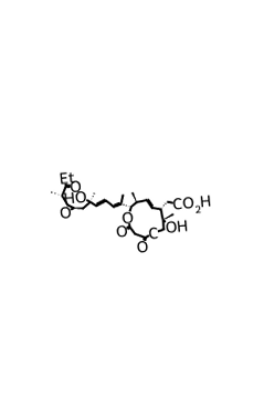 CCC(=O)[C@@H](C)[C@H]1O[C@@H]1C[C@@](C)(O)/C=C/C=C(\C)[C@H]1OC(=O)CC(=O)CC[C@@](C)(O)[C@@H](CC(=O)O)/C=C/[C@@H]1C